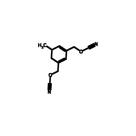 CC1C=C(COC#N)C=C(COC#N)C1